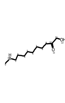 CBCCCCCCCCC(=O)CO